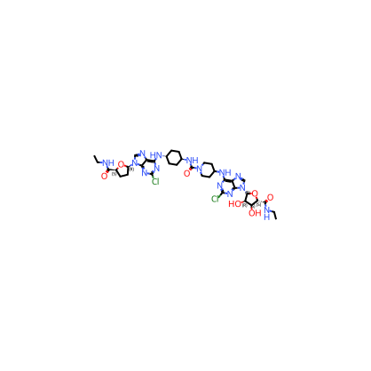 CCNC(=O)[C@@H]1CC[C@H](n2cnc3c(N[C@H]4CC[C@H](NC(=O)N5CCC(Nc6nc(Cl)nc7c6ncn7[C@@H]6O[C@H](C(=O)NCC)[C@@H](O)[C@H]6O)CC5)CC4)nc(Cl)nc32)O1